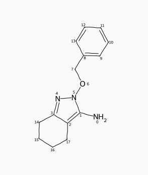 Nc1c2c(nn1OCc1ccccc1)CCCC2